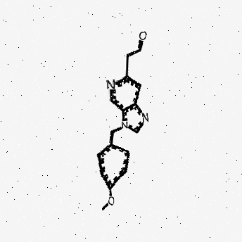 COc1ccc(Cn2cnc3cc(CC=O)ncc32)cc1